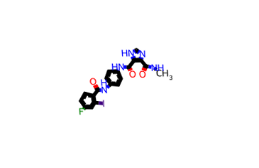 CNC(=O)c1nc[nH]c1C(=O)Nc1ccc(NC(=O)c2ccc(F)cc2I)cc1